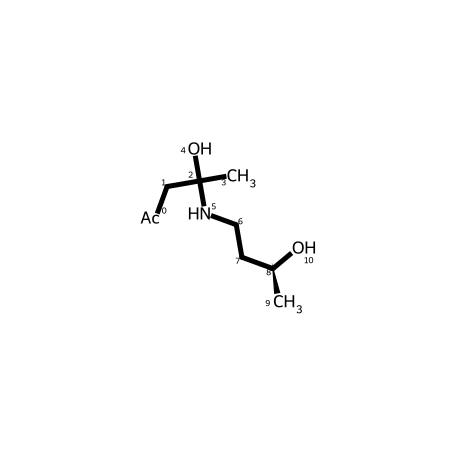 CC(=O)CC(C)(O)NCC[C@H](C)O